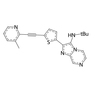 Cc1cccnc1C#Cc1ccc(-c2nc3cnccn3c2NC(C)(C)C)s1